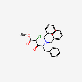 CC(C)(C)OC(=O)C(Cl)C(=O)[C@H](Cc1ccccc1)N(Cc1ccccc1)Cc1ccccc1